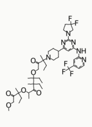 CCC(C)(OC(C)C(=O)C(C)(CC)C(C)(CC)OCC(=O)C(C)(CC)N1CCC(c2cc(Nc3cc(C(F)(F)F)ccn3)nc(N3CCC(F)(F)C3)n2)CC1)C(=O)COC